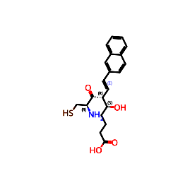 N[C@@H](CS)C(=O)[C@H](/C=C/c1ccc2ccccc2c1)[C@@H](O)CCCC(=O)O